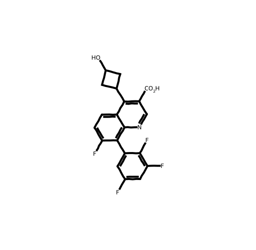 O=C(O)c1cnc2c(-c3cc(F)cc(F)c3F)c(F)ccc2c1C1CC(O)C1